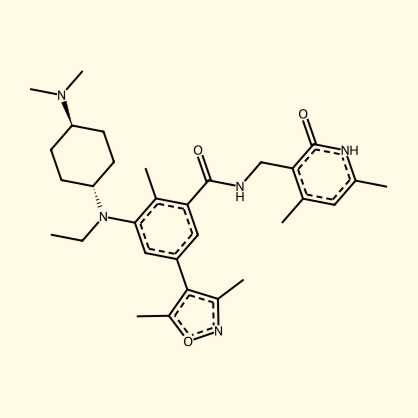 CCN(c1cc(-c2c(C)noc2C)cc(C(=O)NCc2c(C)cc(C)[nH]c2=O)c1C)[C@H]1CC[C@H](N(C)C)CC1